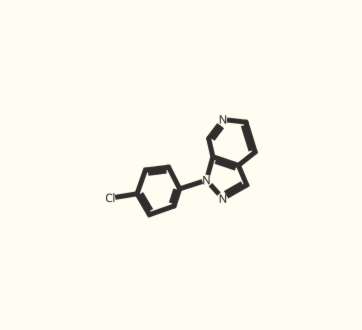 Clc1ccc(-n2ncc3ccncc32)cc1